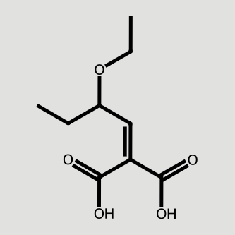 CCOC(C=C(C(=O)O)C(=O)O)CC